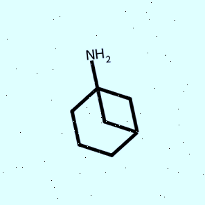 NC12CCCC(C1)C2